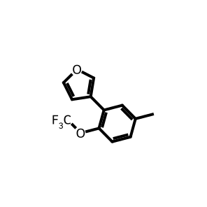 Cc1ccc(OC(F)(F)F)c(-c2ccoc2)c1